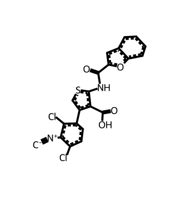 [C-]#[N+]c1c(Cl)ccc(-c2csc(NC(=O)c3cc4ccccc4o3)c2C(=O)O)c1Cl